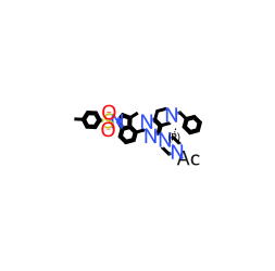 CC(=O)N1CCN(c2nc(-c3cccc4c3c(C)cn4S(=O)(=O)c3ccc(C)cc3)nc3c2CN(Cc2ccccc2)CC3)[C@H](C)C1